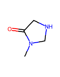 CN1CNCC1=O